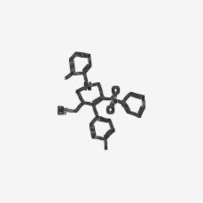 Cc1ccc(C2=C(S(=O)(=O)c3ccccc3)CN(c3ccccc3C)CC2CBr)cc1